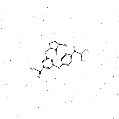 CN(C)C(=O)c1cnc(Oc2cc(OC3CCN(C)C3=O)cc(C(N)=O)c2)cn1